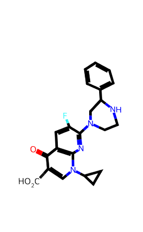 O=C(O)c1cn(C2CC2)c2nc(N3CCNC(c4ccccc4)C3)c(F)cc2c1=O